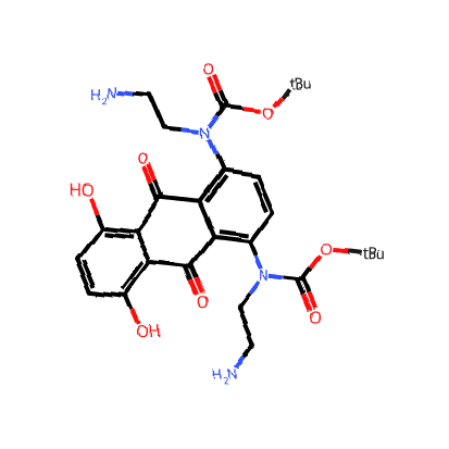 CC(C)(C)OC(=O)N(CCN)c1ccc(N(CCN)C(=O)OC(C)(C)C)c2c1C(=O)c1c(O)ccc(O)c1C2=O